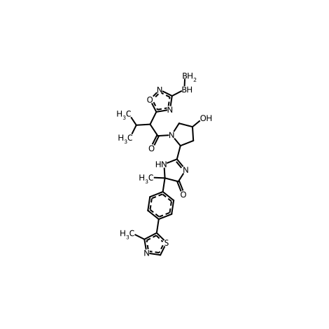 BBc1noc(C(C(=O)N2CC(O)CC2C2=NC(=O)C(C)(c3ccc(-c4scnc4C)cc3)N2)C(C)C)n1